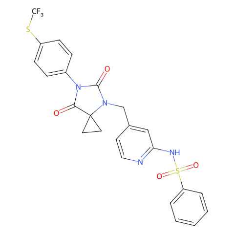 O=C1N(c2ccc(SC(F)(F)F)cc2)C(=O)C2(CC2)N1Cc1ccnc(NS(=O)(=O)c2ccccc2)c1